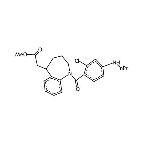 CCCNc1ccc(C(=O)N2CCCC(CC(=O)OC)c3ccccc32)c(Cl)c1